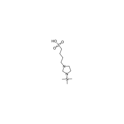 C[Si](C)(C)N1CCN(CCCCS(=O)(=O)O)C1